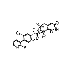 O=C(Nc1cc(Cl)c(-c2cccnc2F)cc1F)C1[C@H]2CC[C@H]1c1n[nH]c(=O)cc1C2